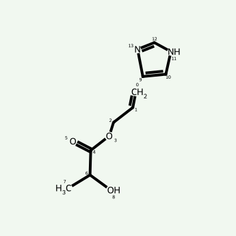 C=CCOC(=O)C(C)O.c1c[nH]cn1